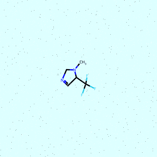 CN1CN=[C]C1C(F)(F)F